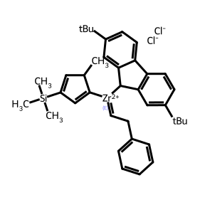 CC1C=C([Si](C)(C)C)C=[C]1/[Zr+2](=[CH]/Cc1ccccc1)[CH]1c2cc(C(C)(C)C)ccc2-c2ccc(C(C)(C)C)cc21.[Cl-].[Cl-]